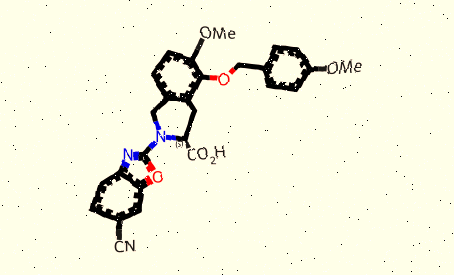 COc1ccc(COc2c(OC)ccc3c2C[C@@H](C(=O)O)N(c2nc4ccc(C#N)cc4o2)C3)cc1